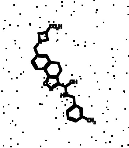 Cc1cccc(CNC(O)c2noc3c2CCc2cc(CN4CC(C(=O)O)C4)ccc2-3)c1